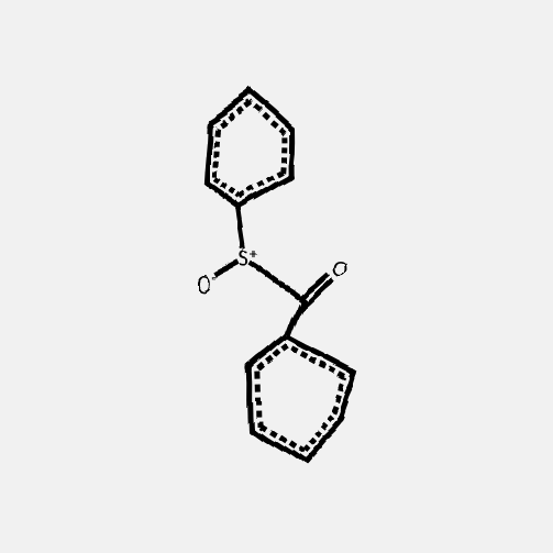 O=C(c1ccccc1)[S+]([O-])c1ccccc1